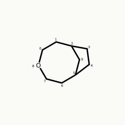 C1CC2CCC(CCO1)C2